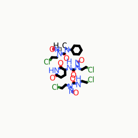 CN(C(=O)N(CCCl)N=O)C1CCCCC1.O=NN(CCCl)C(=O)NC1CCC(=O)NC1=O.O=NN(CCCl)C(=O)NCCCl